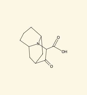 O=C(O)C1C(=O)C2CC3CCCC(C2)N31